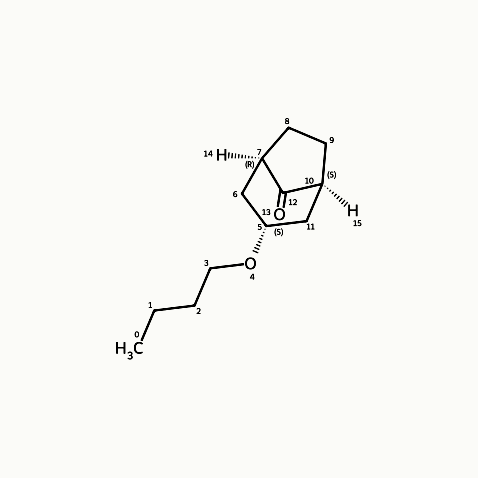 CCCCO[C@@H]1C[C@H]2CC[C@@H](C1)C2=O